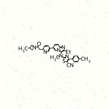 CCc1nc2ccc(-c3ccc(CC(=O)N4CC(C)C4)nc3)cn2c1N(C)c1nc(-c2ccc(C)cc2)c(C#N)s1